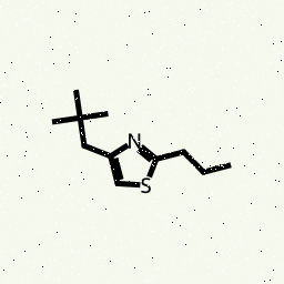 CCCc1nc(CC(C)(C)C)cs1